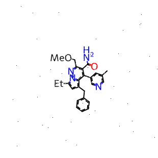 CCc1cc(Cc2ccccc2)c2c(-c3cncc(C)c3)c(C(N)=O)c(COC)nn12